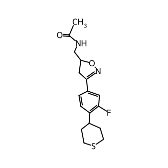 CC(=O)NCC1CC(c2ccc(C3CCSCC3)c(F)c2)=NO1